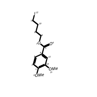 COc1ccc(C(=O)OCCCCI)cc1OC